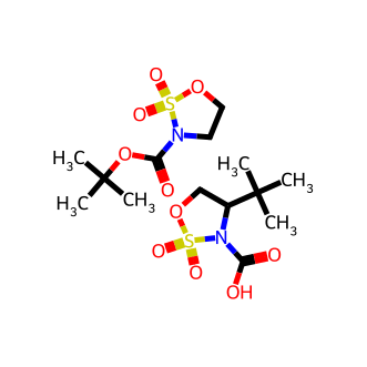 CC(C)(C)C1COS(=O)(=O)N1C(=O)O.CC(C)(C)OC(=O)N1CCOS1(=O)=O